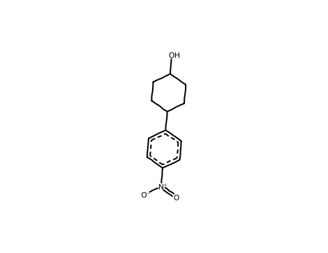 O=[N+]([O-])c1ccc(C2CCC(O)CC2)cc1